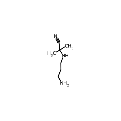 CC(C)(C#N)NCCCN